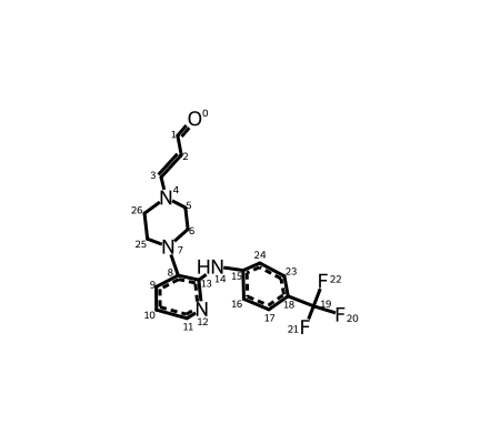 O=CC=CN1CCN(c2cccnc2Nc2ccc(C(F)(F)F)cc2)CC1